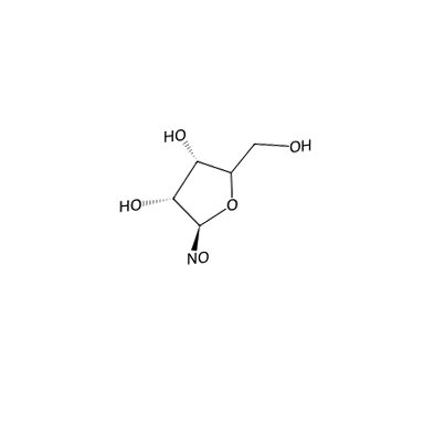 O=N[C@@H]1OC(CO)[C@@H](O)[C@H]1O